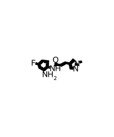 Cn1cc(C=CC(=O)Nc2ccc(F)cc2N)cn1